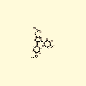 CSc1ccc(-c2cc(CN(C)C)nn2-c2ccc(F)cc2)cc1